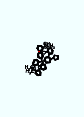 C[Si]1(C)c2ccccc2Oc2c(-c3cc([Si](c4ccccc4)(c4ccccc4)c4cccc5c4Oc4ccccc4[Si]5(C)C)ccc3C3CCCC3)cccc21